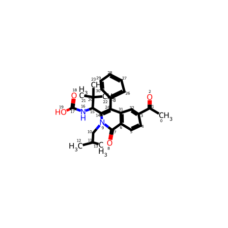 CC(=O)c1ccc2c(=O)n(CC(C)C)c(C(NC(=O)O)C(C)(C)C)c(-c3ccccc3)c2c1